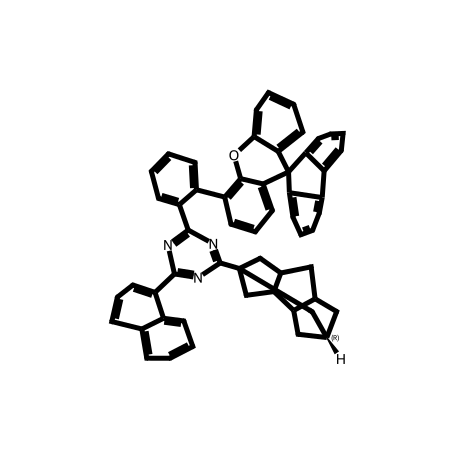 c1ccc2c(c1)Oc1c(-c3ccccc3-c3nc(-c4cccc5ccccc45)nc(C45CC6CC7C[C@H](CC7C6C4)C5)n3)cccc1C21c2ccccc2-c2ccccc21